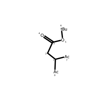 CC(=O)C(CC(=O)OC(C)(C)C)C(C)=O